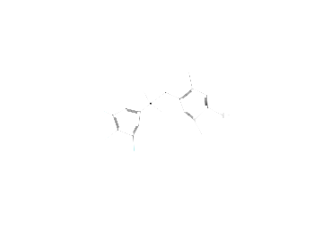 Cc1cc(C(C)C)c(C)cc1CC(C)(C)c1cc(F)c(F)c(F)c1